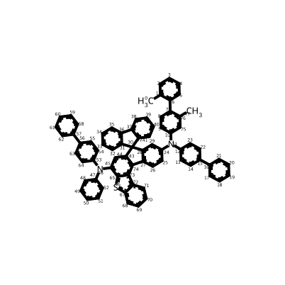 Cc1ccccc1-c1ccc(N(c2ccc(-c3ccccc3)cc2)c2ccc3c(c2)C2(c4ccccc4-c4ccccc42)c2cc(N(c4ccccc4)c4ccc(-c5ccccc5)cc4)c4sc5ccccc5c4c2-3)cc1C